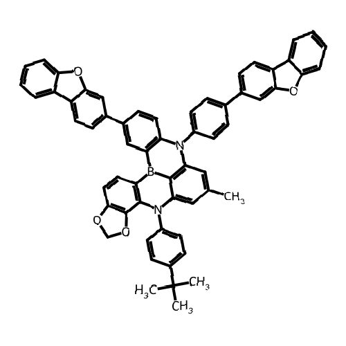 Cc1cc2c3c(c1)N(c1ccc(C(C)(C)C)cc1)c1c(ccc4c1OCO4)B3c1cc(-c3ccc4c(c3)oc3ccccc34)ccc1N2c1ccc(-c2ccc3c(c2)oc2ccccc23)cc1